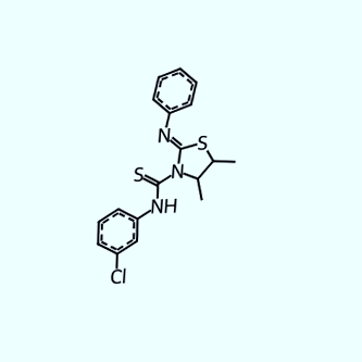 CC1SC(=Nc2ccccc2)N(C(=S)Nc2cccc(Cl)c2)C1C